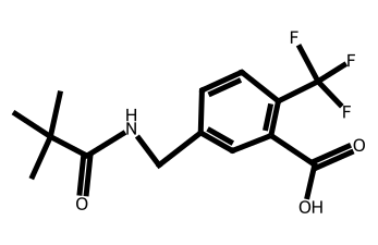 CC(C)(C)C(=O)NCc1ccc(C(F)(F)F)c(C(=O)O)c1